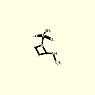 CNC1CCN1S(N)(=O)=O